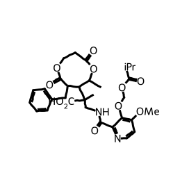 COc1ccnc(C(=O)NCC(C)(C(=O)O)C2C(C)OC(=O)CCOC(=O)C2Cc2ccccc2)c1OCOC(=O)C(C)C